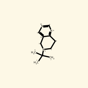 CC(C)(C)N1CCc2ncncc2C1